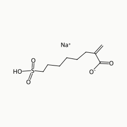 C=C(CCCCCCS(=O)(=O)O)C(=O)[O-].[Na+]